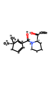 COC(=O)C1CCCCN1C(=O)C1=CC(C)([N+](=O)[O-])CC=C1